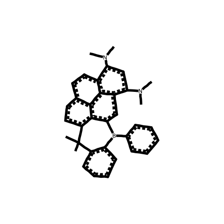 CN(C)c1cc(N(C)C)c2cc3c4c(ccc5ccc1c2c54)C(C)(C)c1ccccc1B3c1ccccc1